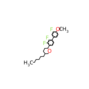 CCCCCCC1CCC(c2ccc(-c3ccc(OC)c(F)c3)c(F)c2F)OC1